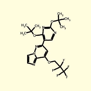 CC(C)(C)Oc1ncc(-c2cc(OCC(F)(F)C(F)(F)F)c3nccn3n2)c(OC(C)(C)C)n1